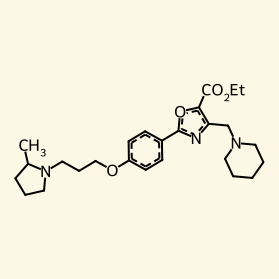 CCOC(=O)c1oc(-c2ccc(OCCCN3CCCC3C)cc2)nc1CN1CCCCC1